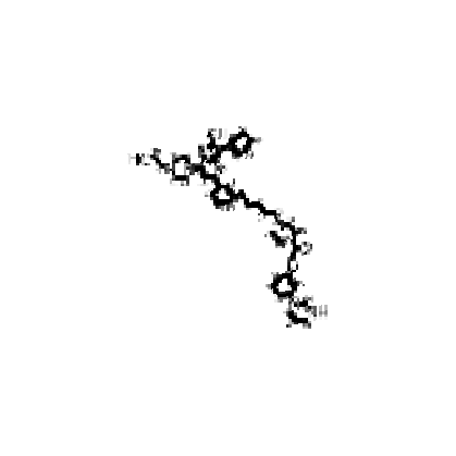 Cc1nn2c(N3CCN(CCO)CC3)cc(-c3cccc(CCCCCN4CCN(C(=O)COc5cccc(N6C=CCNC6)c5)CC4)c3)nc2c1-c1ccccc1